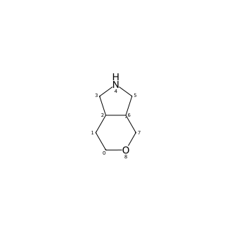 C1CC2CNC[C]2CO1